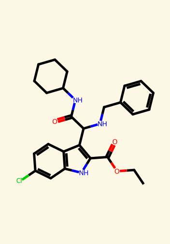 CCOC(=O)c1[nH]c2cc(Cl)ccc2c1C(NCc1ccccc1)C(=O)NC1CCCCC1